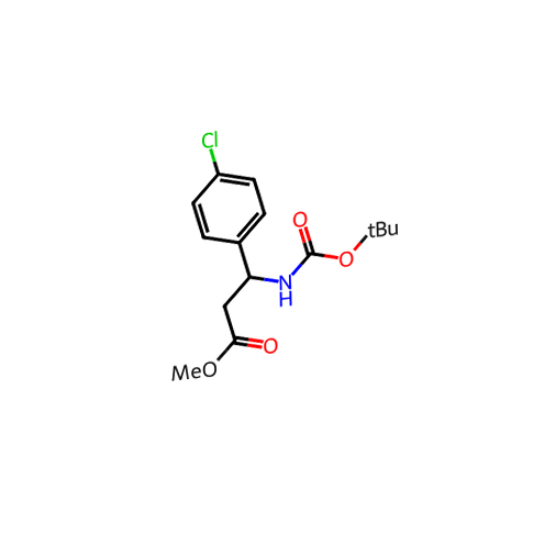 COC(=O)CC(NC(=O)OC(C)(C)C)c1ccc(Cl)cc1